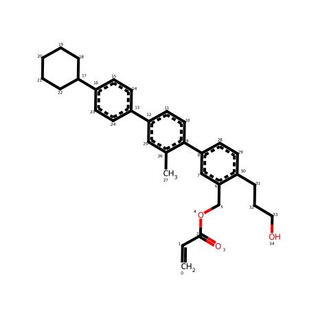 C=CC(=O)OCc1cc(-c2ccc(-c3ccc(C4CCCCC4)cc3)cc2C)ccc1CCCO